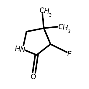 CC1(C)CNC(=O)C1F